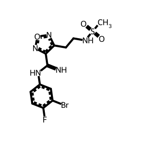 CS(=O)(=O)NCCc1nonc1C(=N)Nc1ccc(F)c(Br)c1